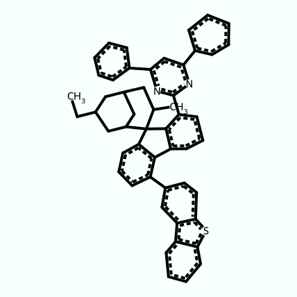 CCC1CC2CC(C)C3(c4cccc(-c5ccc6sc7ccccc7c6c5)c4-c4cccc(-c5nc(-c6ccccc6)cc(-c6ccccc6)n5)c43)C(C1)C2